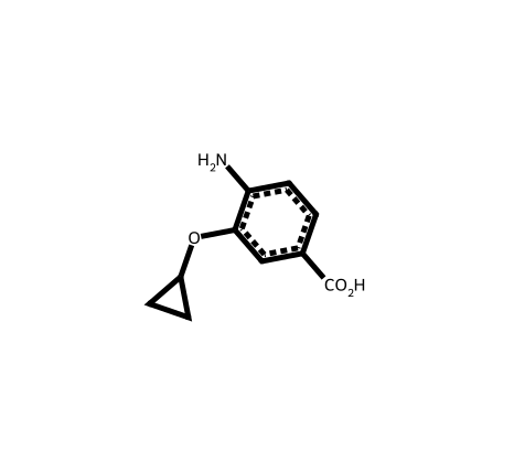 Nc1ccc(C(=O)O)cc1OC1CC1